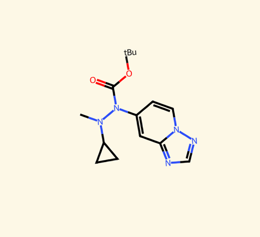 CN(C1CC1)N(C(=O)OC(C)(C)C)c1ccn2ncnc2c1